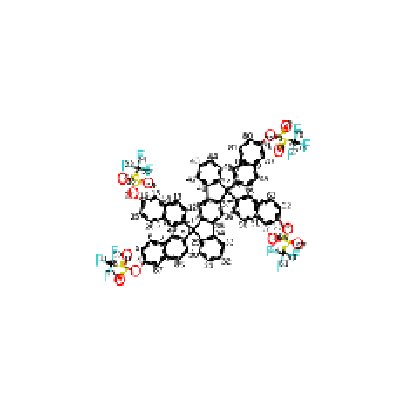 O=S(=O)(Oc1ccc2cc(C3(c4ccc5cc(OS(=O)(=O)C(F)(F)F)ccc5c4)c4ccccc4-c4cc5c(cc43)-c3ccccc3C5(c3ccc4cc(OS(=O)(=O)C(F)(F)F)ccc4c3)c3ccc4cc(OS(=O)(=O)C(F)(F)F)ccc4c3)ccc2c1)C(F)(F)F